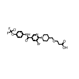 O=C(O)CCOCC1CCN(c2ncc(C(=O)Nc3ccc(OC(F)(F)Cl)cc3)cc2Br)CC1